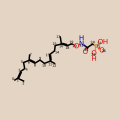 CC(C)=CCCC(C)=CCCC(C)=CCCC(C)=CCONC(=O)CP(=O)(O)O